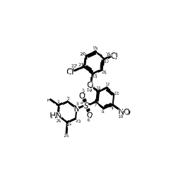 CC1CN(S(=O)(=O)c2cc(N=O)ccc2Oc2cc(Cl)ccc2Cl)CC(C)N1